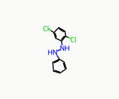 Clc1ccc(Cl)c(NNc2ccccc2)c1